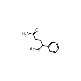 CC(=O)SC(CCC(N)=O)c1ccccc1